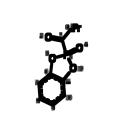 CC(C)C(=O)P1(=O)Oc2ccccc2O1